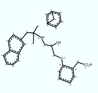 CC(C)(Cc1ccc2ccccc2c1)NCC(O)COc1ccccc1CC(=O)O.c1cc2cc(c1)C2